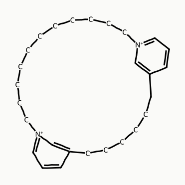 c1cc2c[n+](c1)CCCCCCCCCCC[n+]1cccc(c1)CCCCCC2